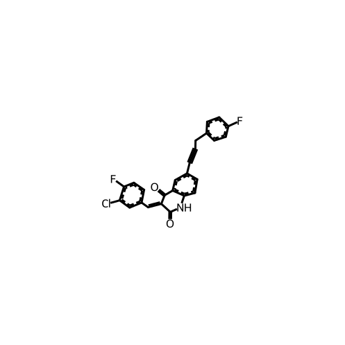 O=C1Nc2ccc(C#CCc3ccc(F)cc3)cc2C(=O)/C1=C\c1ccc(F)c(Cl)c1